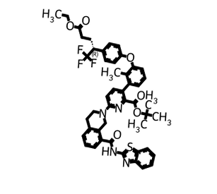 CCOC(=O)CC[C@H](c1ccc(Oc2cccc(-c3ccc(N4CCc5cccc(C(=O)Nc6nc7ccccc7s6)c5C4)nc3C(=O)OC(C)(C)C)c2C)cc1)C(F)(F)F